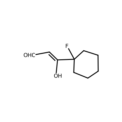 O=C/C=C(\O)C1(F)CCCCC1